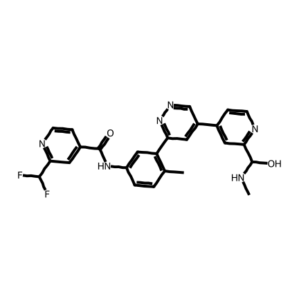 CNC(O)c1cc(-c2cnnc(-c3cc(NC(=O)c4ccnc(C(F)F)c4)ccc3C)c2)ccn1